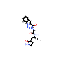 CC(CC1CCNC1=O)NC(=O)CNC(=O)c1cc2ccccc2[nH]1